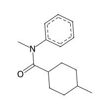 CC1CCC(C(=O)N(C)c2ccccc2)CC1